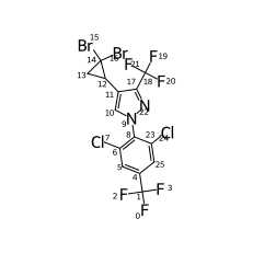 FC(F)(F)c1cc(Cl)c(-n2cc(C3CC3(Br)Br)c(C(F)(F)F)n2)c(Cl)c1